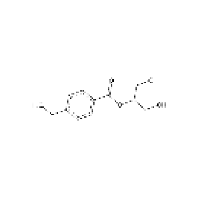 CCc1ccc(C(=O)OC(CO)CO)cc1